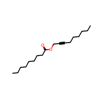 CCCCCCC#CCOC(=O)CCCCCCCC